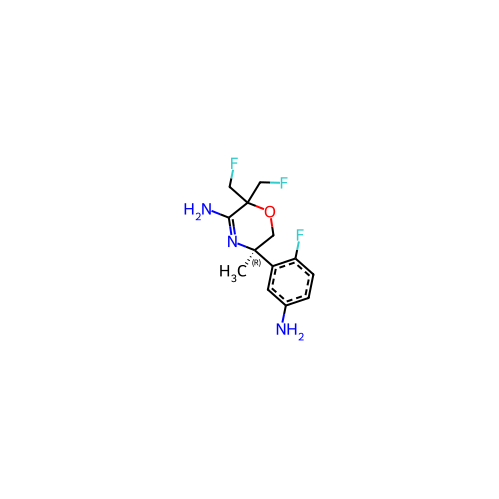 C[C@@]1(c2cc(N)ccc2F)COC(CF)(CF)C(N)=N1